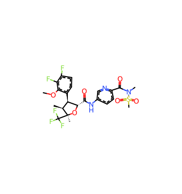 COc1c([C@H]2[C@H](C(=O)Nc3ccc(C(=O)N(C)S(C)(=O)=O)nc3)O[C@@](C)(C(F)(F)F)[C@H]2C)ccc(F)c1F